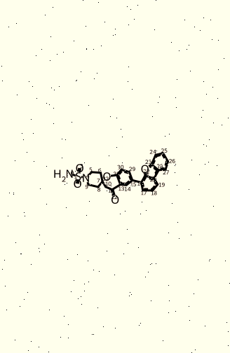 NS(=O)(=O)N1CCC2(CC1)CC(=O)c1cc(-c3cccc4c3oc3ccccc34)ccc1O2